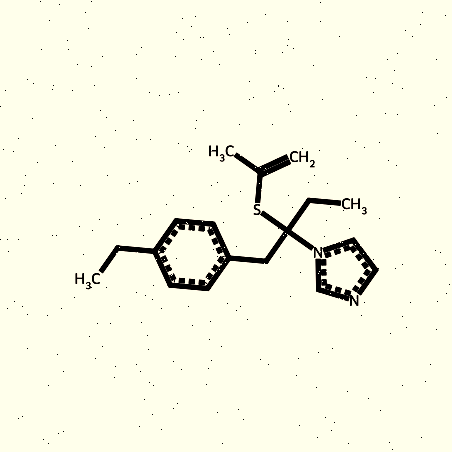 C=C(C)SC(CC)(Cc1ccc(CC)cc1)n1ccnc1